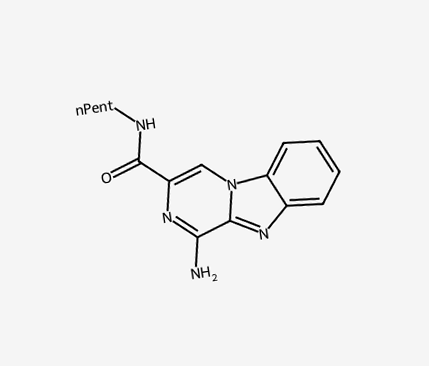 CCCCCNC(=O)c1cn2c(nc3ccccc32)c(N)n1